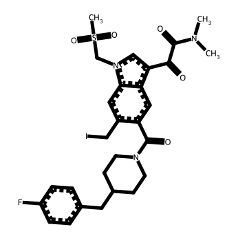 CN(C)C(=O)C(=O)c1cn(CS(C)(=O)=O)c2cc(CI)c(C(=O)N3CCC(Cc4ccc(F)cc4)CC3)cc12